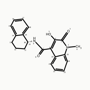 Cn1c(=O)c(O)c(C(=O)N[C@@H]2CCCc3ccccc32)c2ccccc21